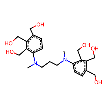 CN(CCCN(C)c1ccc(CO)c(CO)c1CO)c1ccc(CO)c(CO)c1CO